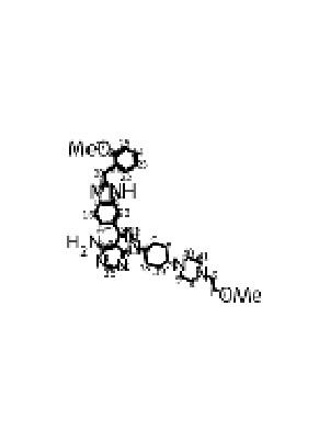 COCCN1CCN([C@H]2CC[C@H](n3nc(-c4ccc5nc(Cc6ccccc6OC)[nH]c5c4)c4c(N)ncnc43)CC2)CC1